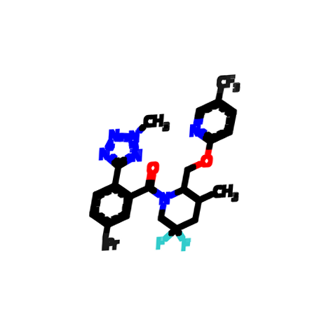 CC(C)c1ccc(-c2nnn(C)n2)c(C(=O)N2CC(F)(F)CC(C)C2COc2ccc(C(F)(F)F)cn2)c1